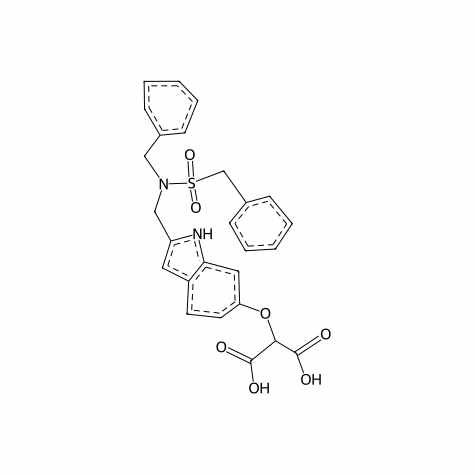 O=C(O)C(Oc1ccc2cc(CN(Cc3ccccc3)S(=O)(=O)Cc3ccccc3)[nH]c2c1)C(=O)O